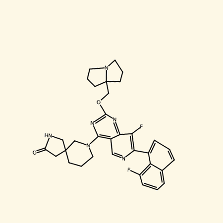 O=C1CC2(CCCN(c3nc(OCC45CCCN4CCC5)nc4c(F)c(-c5cccc6cccc(F)c56)ncc34)C2)CN1